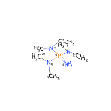 CN(C)P(=N)(N(C)C)N(C)C